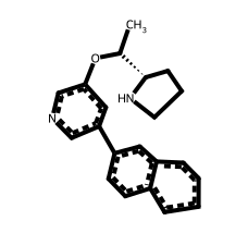 CC(Oc1cncc(-c2ccc3ccccc3c2)c1)[C@@H]1CCCN1